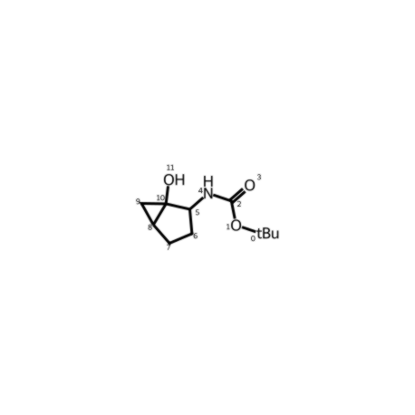 CC(C)(C)OC(=O)NC1CCC2CC21O